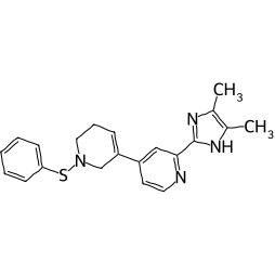 Cc1nc(-c2cc(C3=CCCN(Sc4ccccc4)C3)ccn2)[nH]c1C